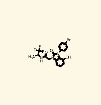 Cc1cccc2c1n(-c1ccc(Br)cc1)c(=O)n2CC(=O)N[C@@H](C)C(F)(F)F